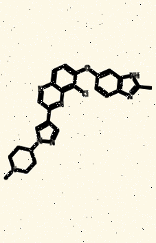 Cc1nc2ccc(Oc3ccc4ncc(-c5cnn(C6CCN(C)CC6)c5)nc4c3Cl)cc2[nH]1